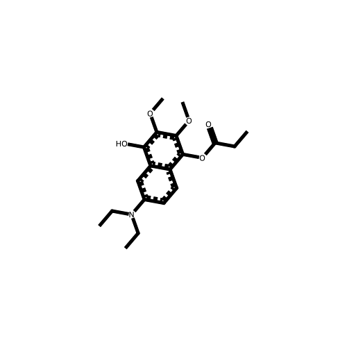 CCC(=O)Oc1c(OC)c(OC)c(O)c2cc(N(CC)CC)ccc12